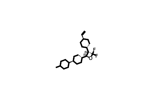 C=C[C@H]1CC[C@H]([C@H]2[C@H]([C@H]3CC[C@H](C4CCC(C)CC4)CC3)OC2(F)F)CC1